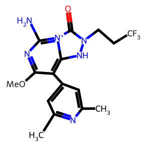 COc1nc(N)[n+]2c(=O)n(CCC(F)(F)F)[nH]c2c1-c1cc(C)nc(C)c1